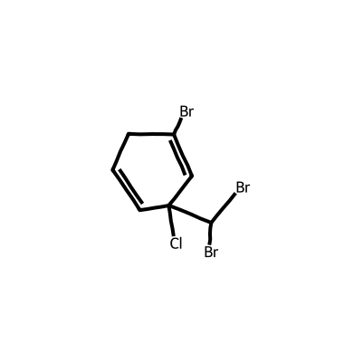 ClC1(C(Br)Br)C=CCC(Br)=C1